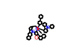 CC1C/C=C2/C(=C(c3ccc(-c4ccccc4)cc3)\N=C/1c1cccc3c1c1ccccc1n3-c1ccccc1)Cc1ccc3c4cc5ccccc5cc4n(c3c1)-c1cc3oc4ccc5ccccc5c4c3cc12